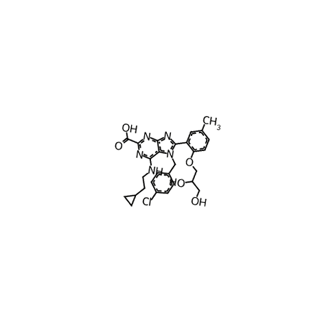 Cc1ccc(OCC(O)CO)c(-c2nc3nc(C(=O)O)nc(NCCC4CC4)c3n2Cc2ccc(Cl)cc2)c1